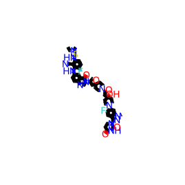 CCN(C)SNc1ccc(F)c(Nc2ccc3ncn(C4COC5(CCN(C(=O)CC6(O)CCN(c7cc8c(cc7F)c(N7CCC(=O)NC7=O)nn8C)CC6)CC5)C4)c(=O)c3c2)c1C#N